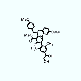 COC(=O)c1c(N(Cc2ccc(OC)cc2)Cc2ccc(OC)cc2)ncn(-c2c(C)cc(C(O)CO)cc2C)c1=O